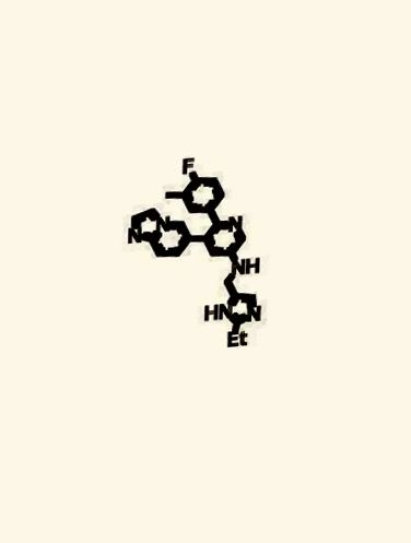 CCc1ncc(CNc2cnc(-c3ccc(F)c(C)c3)c(-c3ccc4nccn4c3)c2)[nH]1